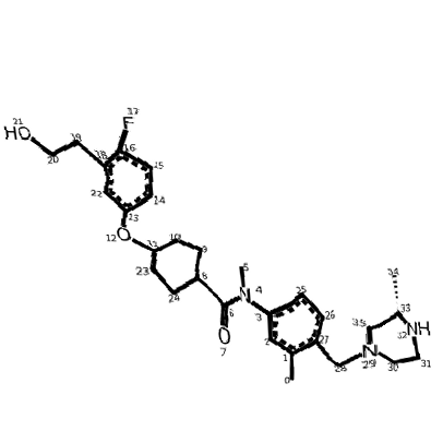 Cc1cc(N(C)C(=O)C2CCC(Oc3ccc(F)c(CCO)c3)CC2)ccc1CN1CCN[C@@H](C)C1